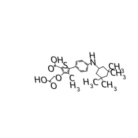 Cc1c(-c2ccc(NC3CC(C)(C)CC(C)(C)C3)cc2)sc(C(=O)O)c1OCC(=O)O